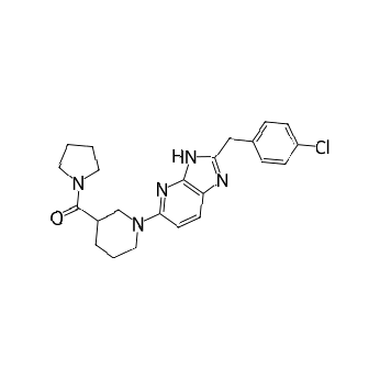 O=C(C1CCCN(c2ccc3nc(Cc4ccc(Cl)cc4)[nH]c3n2)C1)N1CCCC1